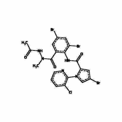 CC(=O)NN(C)C(=O)c1cc(Br)cc(Br)c1NC(=O)c1cc(Br)cn1-c1ncccc1Cl